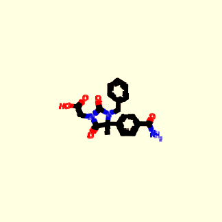 CC1(c2ccc(C(N)=O)cc2)C(=O)N(CC(=O)O)C(=O)N1Cc1ccccc1